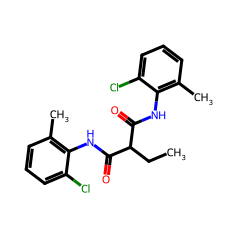 CCC(C(=O)Nc1c(C)cccc1Cl)C(=O)Nc1c(C)cccc1Cl